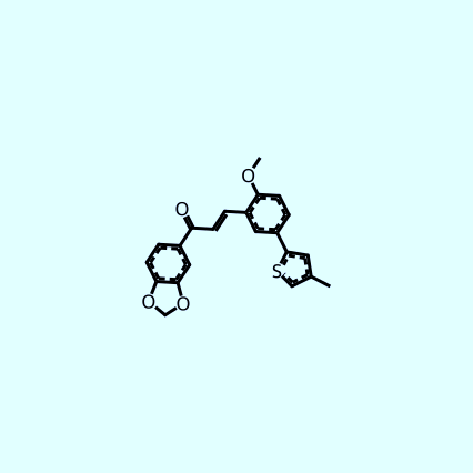 COc1ccc(-c2cc(C)cs2)cc1C=CC(=O)c1ccc2c(c1)OCO2